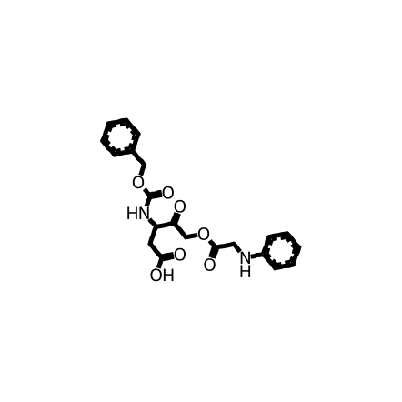 O=C(O)CC(NC(=O)OCc1ccccc1)C(=O)COC(=O)CNc1ccccc1